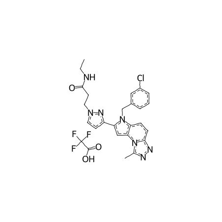 CCNC(=O)CCn1ccc(-c2cc3c(ccc4nnc(C)n43)n2Cc2cccc(Cl)c2)n1.O=C(O)C(F)(F)F